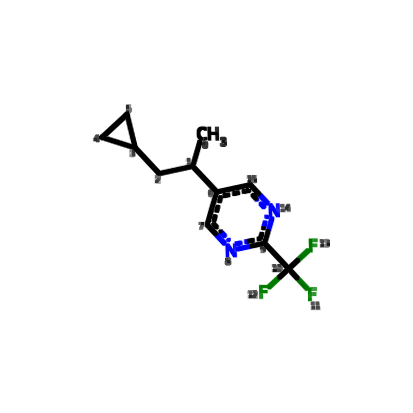 CC(CC1CC1)c1cnc(C(F)(F)F)nc1